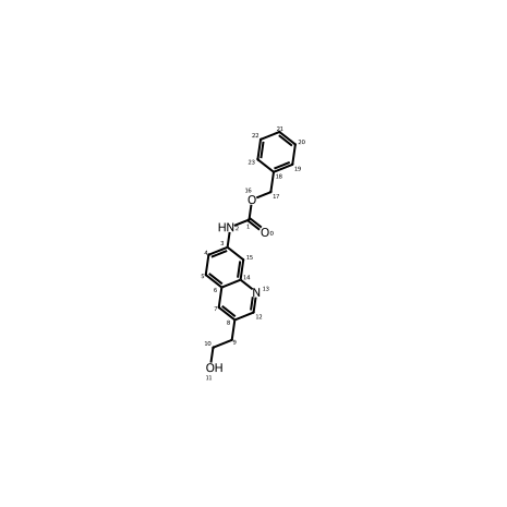 O=C(Nc1ccc2cc(CCO)cnc2c1)OCc1ccccc1